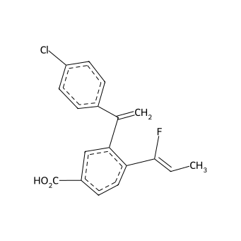 C=C(c1ccc(Cl)cc1)c1cc(C(=O)O)ccc1C(F)=CC